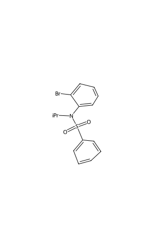 CC(C)N(c1ccccc1Br)S(=O)(=O)c1ccccc1